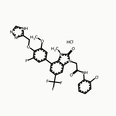 COc1cc(-c2cc(C(F)(F)F)cc3c2n(C)c(=O)n3CC(=O)Nc2ccccc2Cl)cc(F)c1OCc1nnc[nH]1.Cl